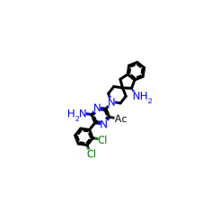 CC(=O)c1nc(-c2cccc(Cl)c2Cl)c(N)nc1N1CCC2(CC1)Cc1ccccc1[C@H]2N